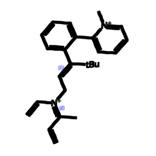 C=C/C(C)=[N+](\C=C)C/C=C(/c1ccccc1-c1cccc[n+]1C)C(C)(C)C